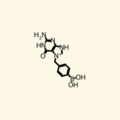 Nc1nc2[nH]c[n+](Cc3ccc(B(O)O)cc3)c2c(=O)[nH]1